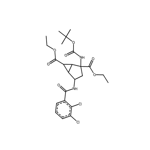 CCOC(=O)C1C2C(NC(=O)c3cccc(Cl)c3Cl)CC(NC(=O)OC(C)(C)C)(C(=O)OCC)C12